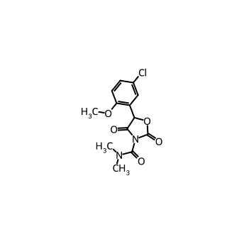 COc1ccc(Cl)cc1C1OC(=O)N(C(=O)N(C)C)C1=O